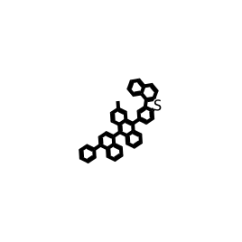 Cc1ccc2c(-c3ccc(-c4ccccc4)c4ccccc34)c3ccccc3c(-c3ccc4sc5ccc6ccccc6c5c4c3)c2c1